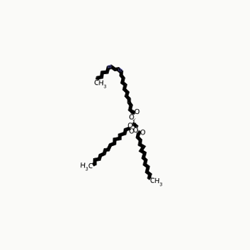 CCCCC/C=C\C/C=C\CCCCCCCCCCCC(=O)OC[C@H](COC(=O)CCCCCCCCCCCCCC)OC(=O)CCCCCCCCCCCCCCC